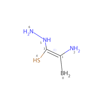 B/C(N)=C(\S)NN